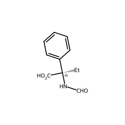 CC[C@](NC=O)(C(=O)O)c1ccccc1